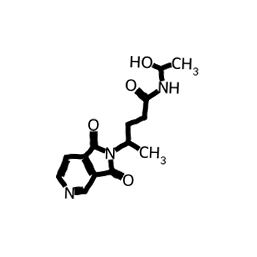 CC(O)NC(=O)CCC(C)N1C(=O)c2ccncc2C1=O